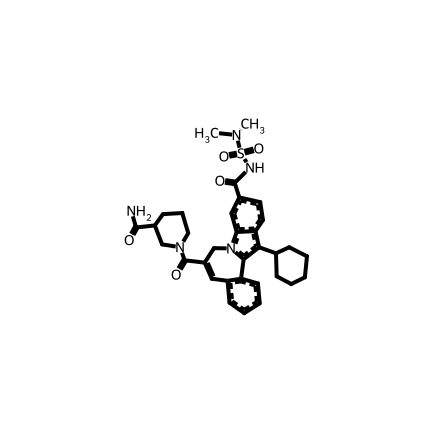 CN(C)S(=O)(=O)NC(=O)c1ccc2c(C3CCCCC3)c3n(c2c1)CC(C(=O)N1CCCC(C(N)=O)C1)=Cc1ccccc1-3